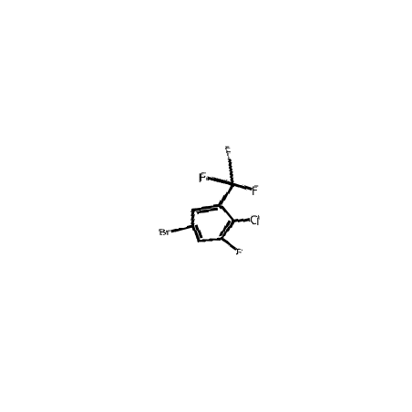 Fc1cc(Br)cc(C(F)(F)F)c1Cl